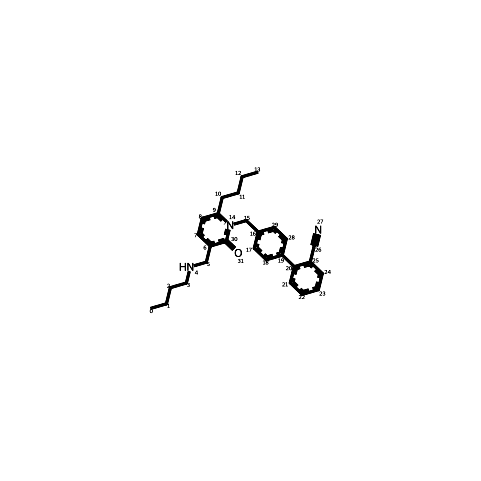 CCCCNCc1ccc(CCCC)n(Cc2ccc(-c3ccccc3C#N)cc2)c1=O